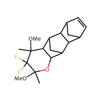 COC1(C)OC2C3CC(C4C5C=CC(C5)C34)C2C(C)(OC)C1(F)F